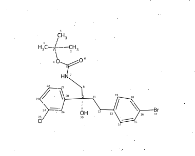 CC(C)(C)OC(=O)NC[C@@](O)(CCc1ccc(Br)cc1)c1cccc(Cl)c1